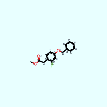 COC(=O)Cc1ccc(OCc2ccccc2)cc1F